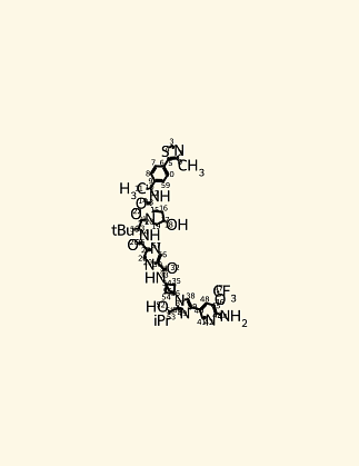 Cc1ncsc1-c1ccc([C@H](C)NC(=O)[C@@H]2C[C@@H](O)CN2C(=O)[C@@H](NC(=O)c2cnc(C(=O)NC34CC(n5cc(-c6cnc(N)c(OC(F)(F)F)c6)nc5C(O)C(C)C)(C3)C4)cn2)C(C)(C)C)cc1